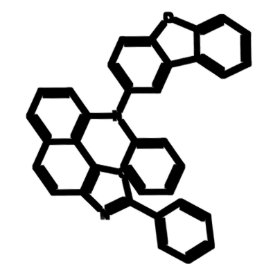 c1ccc(-c2nc3ccc4cccc(N(c5ccccc5)c5ccc6oc7ccccc7c6c5)c4c3o2)cc1